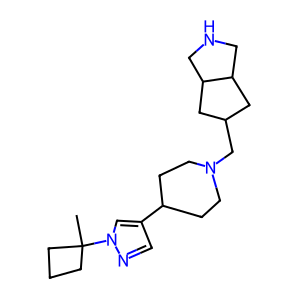 CC1(n2cc(C3CCN(CC4CC5CNCC5C4)CC3)cn2)CCC1